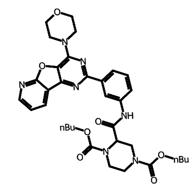 CCCCOC(=O)N1CCN(C(=O)OCCCC)C(C(=O)Nc2cccc(-c3nc(N4CCOCC4)c4oc5ncccc5c4n3)c2)C1